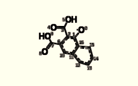 [O]c1c(C(=O)O)c(C(=O)O)cc2ccccc12